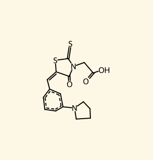 O=C(O)CN1C(=O)/C(=C\c2cccc(N3CCCC3)c2)SC1=S